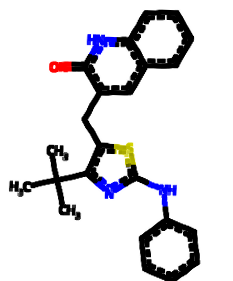 CC(C)(C)c1nc(Nc2ccccc2)sc1Cc1cc2ccccc2[nH]c1=O